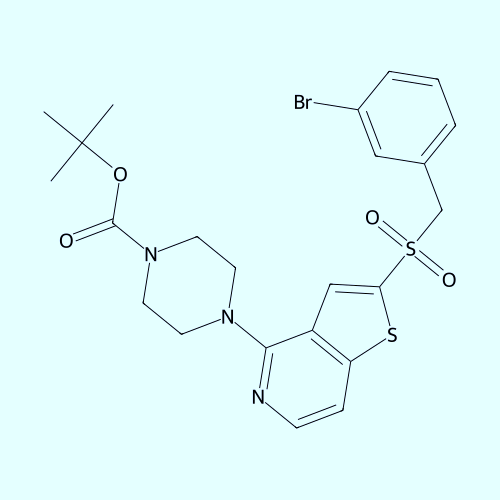 CC(C)(C)OC(=O)N1CCN(c2nccc3sc(S(=O)(=O)Cc4cccc(Br)c4)cc23)CC1